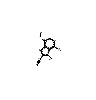 COc1ccc(F)c2c1cc(C#N)n2I